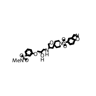 CNS(=O)(=O)c1cccc(OC[C@@H](O)CNC2COC3(CCN(S(=O)(=O)c4ccc5oncc5c4)CC3)C2)c1